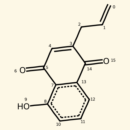 C=CCC1=CC(=O)c2c(O)cccc2C1=O